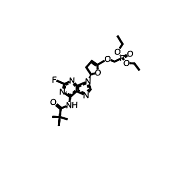 CCOP(=O)(COC1=CC[C@H](n2cnc3c(NC(=O)C(C)(C)C)nc(F)nc32)O1)OCC